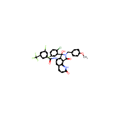 COc1ccc(CN2C(=O)c3c(c(NC(=O)c4cc(F)cc(C(F)(F)F)c4)cc4ccc(=O)[nH]c34)C2(O)c2cc(F)ccc2Cl)cc1